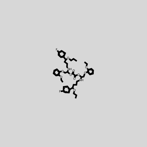 CCCOC(CCCNC(COc1ccccc1OCC)OC(=O)C(=O)OC(COc1ccccc1OCC)NCCCC(OCCC)c1ccc(F)cc1)c1ccc(F)cc1